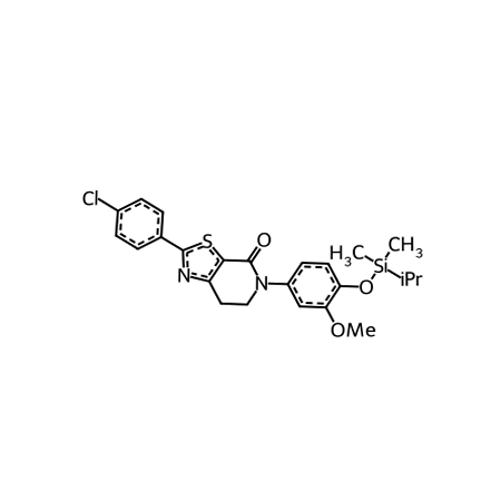 COc1cc(N2CCc3nc(-c4ccc(Cl)cc4)sc3C2=O)ccc1O[Si](C)(C)C(C)C